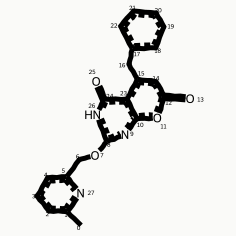 Cc1cccc(COc2nc3oc(=O)cc(Cc4ccccc4)c3c(=O)[nH]2)n1